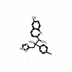 CC(c1ccc2cc(C#N)ccc2n1)C(O)(Cc1nc[nH]n1)c1ccc(F)cc1